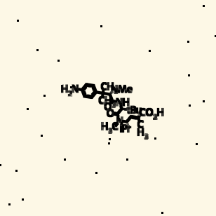 CN[C@H](C(=O)N[C@H](C(=O)N(C)[C@H](/C=C(\C)C(=O)O)C(C)C)C(C)(C)C)C(C)(C)c1ccc(N)cc1